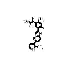 Cc1cc(F)c(-c2cn3nc(-c4cccnc4C(F)(F)F)ccc3n2)cc1NC(=O)C(C)(C)C